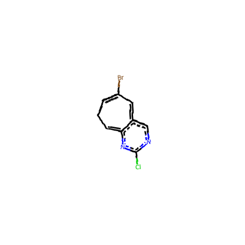 Clc1ncc2c(n1)=CCC=C(Br)C=2